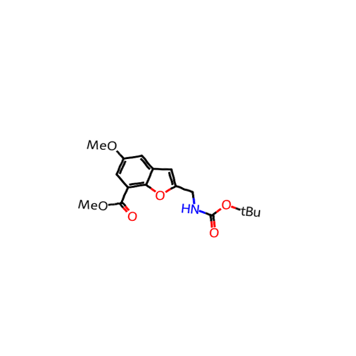 COC(=O)c1cc(OC)cc2cc(CNC(=O)OC(C)(C)C)oc12